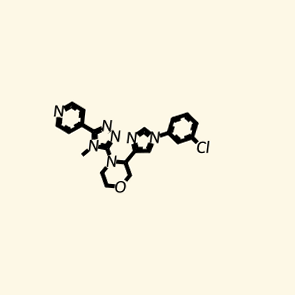 Cn1c(-c2ccncc2)nnc1N1CCOCC1c1cn(-c2cccc(Cl)c2)cn1